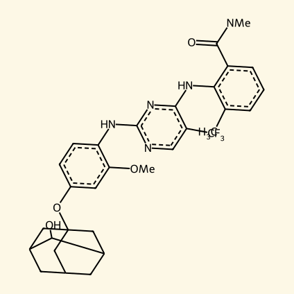 CNC(=O)c1cccc(C)c1Nc1nc(Nc2ccc(OC34CC5CC(C3)C(O)C(C5)C4)cc2OC)ncc1C(F)(F)F